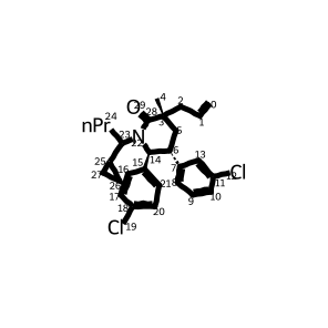 C=CC[C@]1(C)C[C@H](c2cccc(Cl)c2)[C@@H](c2ccc(Cl)cc2)N(C(CCC)C2CC2)C1=O